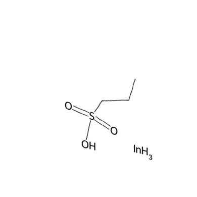 CCCS(=O)(=O)O.[InH3]